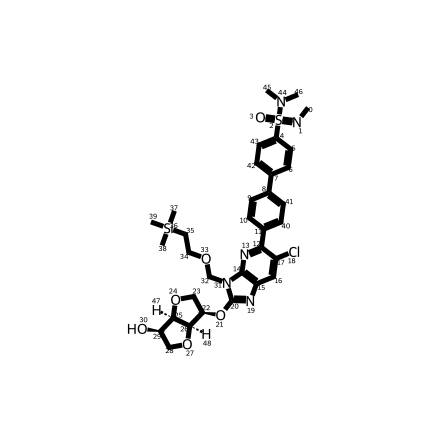 CN=S(=O)(c1ccc(-c2ccc(-c3nc4c(cc3Cl)nc(O[C@@H]3CO[C@H]5[C@@H]3OC[C@H]5O)n4COCC[Si](C)(C)C)cc2)cc1)N(C)C